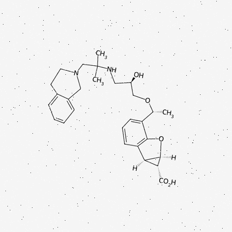 C[C@@H](OC[C@H](O)CNC(C)(C)CN1CCc2ccccc2C1)c1cccc2c1O[C@H]1[C@H](C(=O)O)[C@@H]21